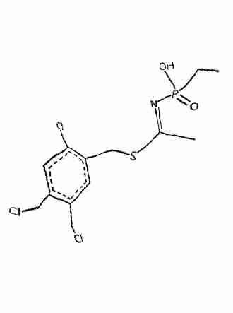 CCP(=O)(O)N=C(C)SCc1cc(Cl)c(Cl)cc1Cl